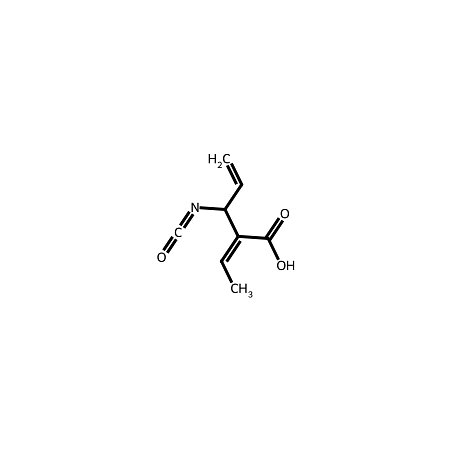 C=CC(N=C=O)C(=CC)C(=O)O